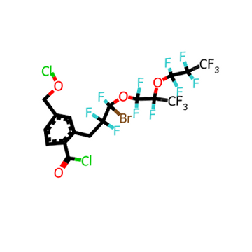 O=C(Cl)c1ccc(COCl)cc1CC(F)(F)C(F)(Br)OC(F)(F)C(F)(OC(F)(F)C(F)(F)C(F)(F)F)C(F)(F)F